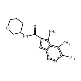 Cc1nnc2sc(C(=O)NC3CCCOC3)c(N)c2c1C